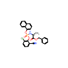 C[C@H](NP(=O)(Oc1c(Cl)cccc1C#N)Oc1cccc2ccccc12)C(=O)OCc1ccccc1